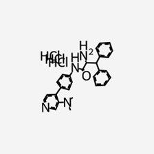 CN(C)c1cnccc1-c1ccc(NC(=O)[C@@H](N)C(c2ccccc2)c2ccccc2)cc1.Cl.Cl.Cl